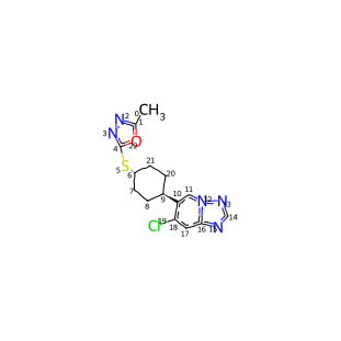 Cc1nnc(S[C@H]2CC[C@H](c3cn4ncnc4cc3Cl)CC2)o1